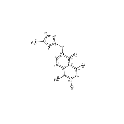 Cc1nc(Cn2cnc3c(O)c(Cl)cc(Cl)c3c2=O)cs1